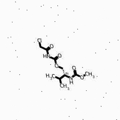 COC(=O)N[C@@H](COC(=O)NC(=O)CCl)C(C)C